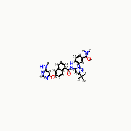 CNc1cc(Oc2ccc3c(C(=O)Nc4cc(C(C)(C)C)nn4-c4cccc(C(=O)N(C)C)c4)cccc3c2)ncn1